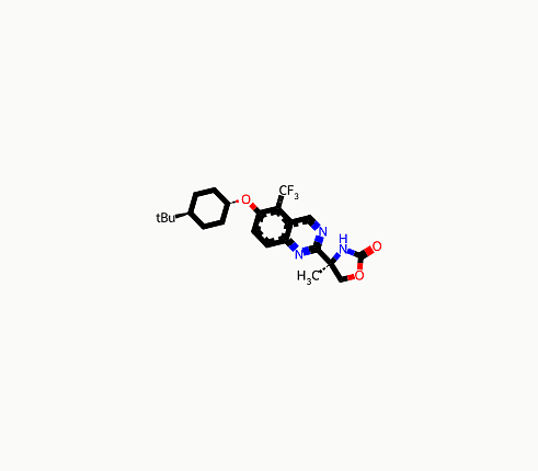 CC(C)(C)[C@H]1CC[C@H](Oc2ccc3nc([C@]4(C)COC(=O)N4)ncc3c2C(F)(F)F)CC1